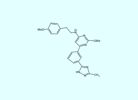 COc1ccc(CCNc2cc(-c3cccc(-c4nc(C)n[nH]4)c3)nc(OC)n2)cc1